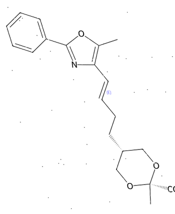 Cc1oc(-c2ccccc2)nc1/C=C/CC[C@H]1CO[C@@](C)(C(=O)O)OC1